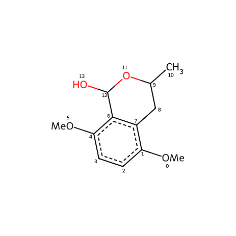 COc1ccc(OC)c2c1CC(C)OC2O